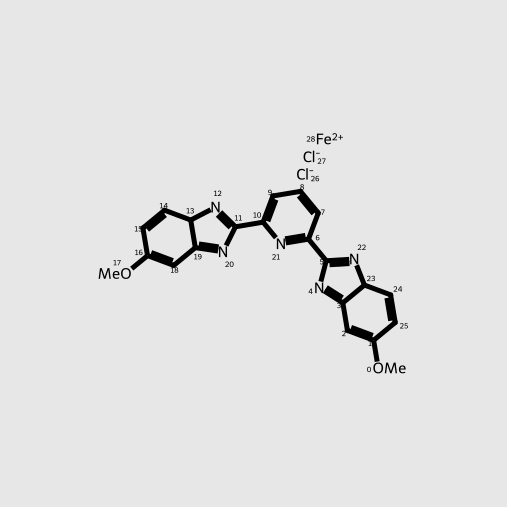 COC1=CC2=NC(c3cccc(C4=NC5C=CC(OC)=CC5=N4)n3)=NC2C=C1.[Cl-].[Cl-].[Fe+2]